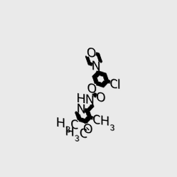 COc1c(C)cnc(CNC(=O)Oc2cc(Cl)cc(N3CCOCC3)c2)c1C